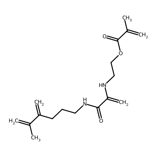 C=C(C)C(=C)CCCNC(=O)C(=C)NCCOC(=O)C(=C)C